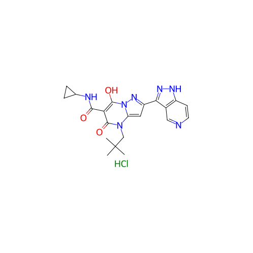 CC(C)(C)Cn1c(=O)c(C(=O)NC2CC2)c(O)n2nc(-c3n[nH]c4ccncc34)cc12.Cl